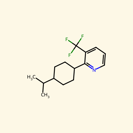 CC(C)C1CCC(c2ncccc2C(F)(F)F)CC1